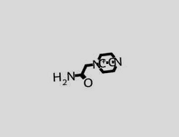 NC(=O)C[N+]12CCN(CC1)CC2